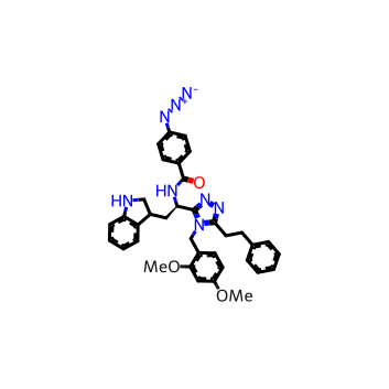 COc1ccc(Cn2c(CCc3ccccc3)nnc2[C@@H](CC2CNc3ccccc32)NC(=O)c2ccc(N=[N+]=[N-])cc2)c(OC)c1